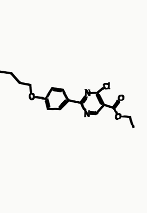 CCCCOc1ccc(-c2ncc(C(=O)OCC)c(Cl)n2)cc1